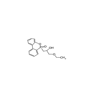 CCOCC(O)CP1(=O)Oc2ccccc2-c2ccccc21